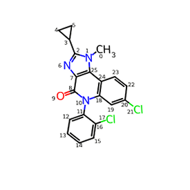 Cn1c(C2CC2)nc2c(=O)n(-c3ccccc3Cl)c3cc(Cl)ccc3c21